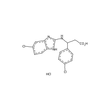 Cl.O=C(O)CC(Nc1nc2cc(Cl)ccc2[nH]1)c1ccc(Cl)cc1